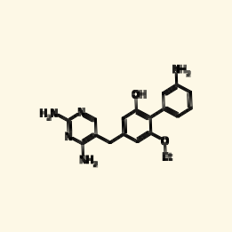 CCOc1cc(Cc2cnc(N)nc2N)cc(O)c1-c1cccc(N)c1